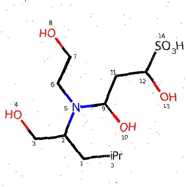 CC(C)CC(CO)N(CCO)C(O)CC(O)S(=O)(=O)O